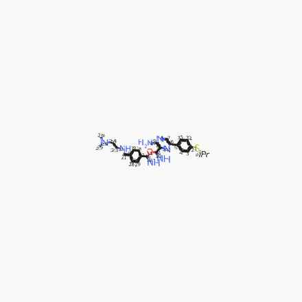 CC(C)Sc1ccc(-c2cnc(N)c(C(=N)OC(=N)c3ccc(CNCCN(C)C)cc3)n2)cc1